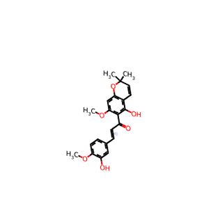 COc1ccc(/C=C/C(=O)c2c(OC)cc3c(c2O)C=CC(C)(C)O3)cc1O